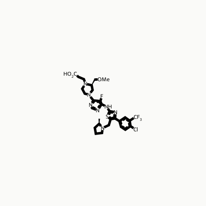 COC[C@H]1CN(c2ncnc(Nc3nc(-c4ccc(Cl)c(C(F)(F)F)c4)c(CN4CCC[C@H]4C)s3)c2F)CCN1CCC(=O)O